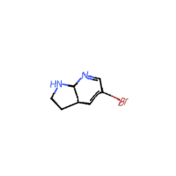 BrC1=CC2CCNC2N=C1